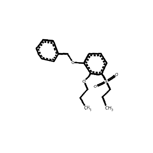 CCCOc1c(OCc2ccccc2)cccc1S(=O)(=O)CCC